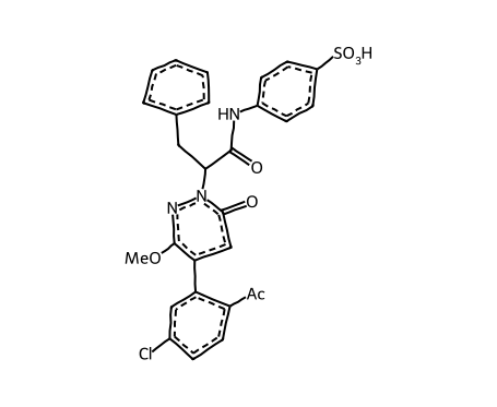 COc1nn(C(Cc2ccccc2)C(=O)Nc2ccc(S(=O)(=O)O)cc2)c(=O)cc1-c1cc(Cl)ccc1C(C)=O